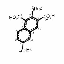 CCCCCCc1ccc2c(C(=O)O)c(CCCCCC)c(C(=O)O)cc2c1